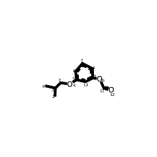 CC(C)COc1cccc(OC=O)c1